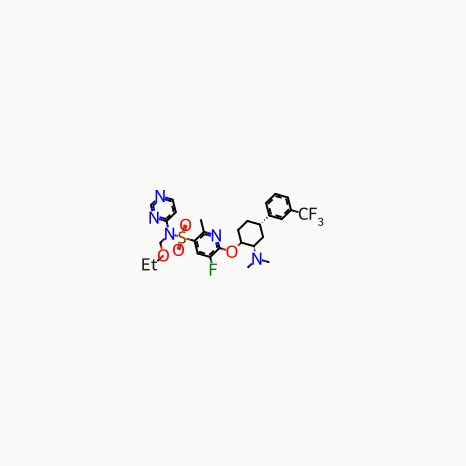 CCOCN(c1ccncn1)S(=O)(=O)c1cc(F)c(O[C@H]2CC[C@H](c3cccc(C(F)(F)F)c3)C[C@@H]2N(C)C)nc1C